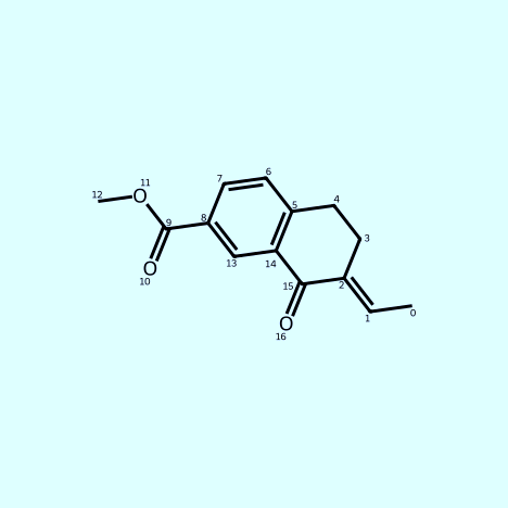 C/C=C1\CCc2ccc(C(=O)OC)cc2C1=O